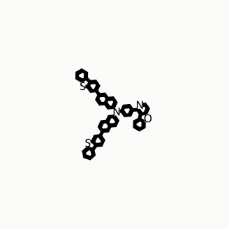 c1ccc2c(c1)oc1ccnc(-c3ccc(N(c4ccc5cc(-c6ccc7c(c6)sc6ccccc67)ccc5c4)c4ccc5cc(-c6ccc7c(c6)sc6ccccc67)ccc5c4)cc3)c12